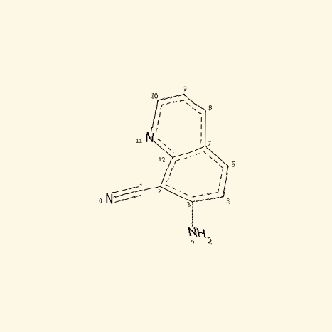 N#Cc1c(N)ccc2cccnc12